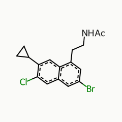 CC(=O)NCCc1cc(Br)cc2cc(Cl)c(C3CC3)cc12